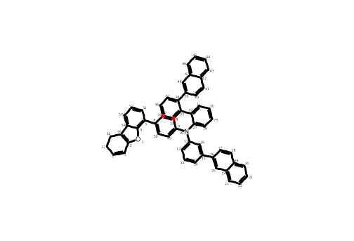 C1=Cc2oc3c(-c4ccc(N(c5cccc(-c6ccc7ccccc7c6)c5)c5ccccc5-c5ccccc5-c5ccc6ccccc6c5)cc4)cccc3c2CC1